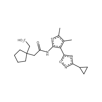 Cc1sc(NC(=O)CC2(CC(=O)O)CCCC2)c(-c2nc(C3CC3)no2)c1C